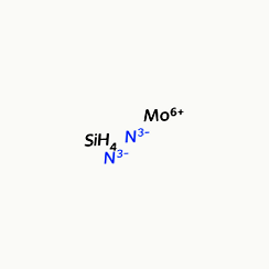 [Mo+6].[N-3].[N-3].[SiH4]